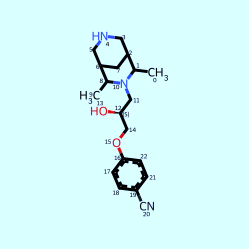 CC1C2CNCC(C2)C(C)N1C[C@H](O)COc1ccc(C#N)cc1